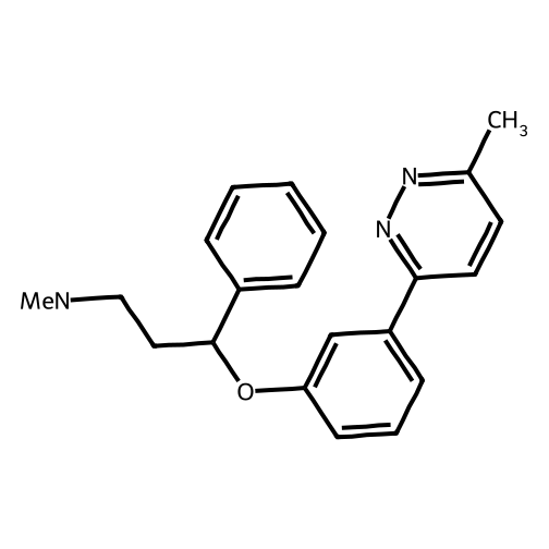 CNCCC(Oc1cccc(-c2ccc(C)nn2)c1)c1ccccc1